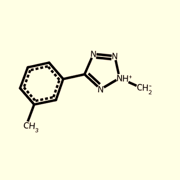 [CH2-][NH+]1N=NC(c2cccc(C)c2)=N1